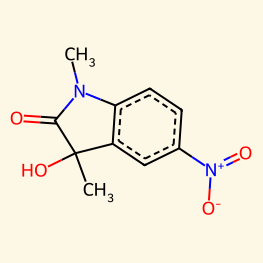 CN1C(=O)C(C)(O)c2cc([N+](=O)[O-])ccc21